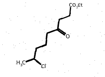 CCOC(=O)CCC(=O)CCCC(C)Cl